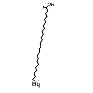 C.CCCCCCCCCCCCCCCCCCCCCCCCCC(O)I